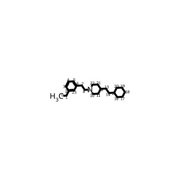 CCc1cccc(CCN2CCC(CCC3CCCCC3)CC2)c1